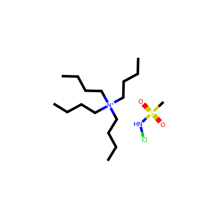 CCCC[N+](CCCC)(CCCC)CCCC.CS(=O)(=O)NCl